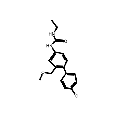 CCNC(=O)Nc1ccc(-c2ccc(Cl)cc2)c(COC)c1